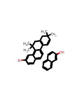 CC1(C)C=CC2=C(C1)CC(C)(C)c1c2ccc2ccc(Br)cc12.Oc1ccc2ccccc2c1